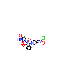 O=C1CCC(N2C(=O)c3ccccc3C(N3CCC4(CC3)CN(C(=O)Cl)C4)C2=O)C(=O)N1